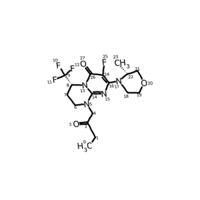 CCC(=O)CN1CC[C@H](C(F)(F)F)n2c1nc(N1CCOC[C@H]1C)c(F)c2=O